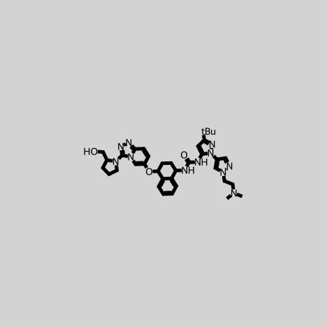 CN(C)CCn1cc(-n2nc(C(C)(C)C)cc2NC(=O)NC2CCC(Oc3ccc4nnc(N5CCCC5CO)n4c3)c3ccccc32)cn1